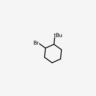 CC(C)(C)C1CCCCC1Br